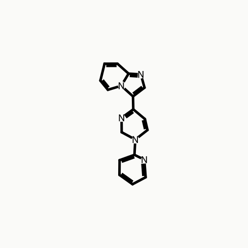 C1=CN(c2ccccn2)CN=C1c1cnc2ccccn12